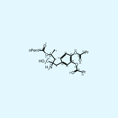 CCCCCC(=O)O[C@@H](C)CC(N)(Cc1ccc(OC(=O)C(C)C)c(OC(=O)C(C)C)c1)C(=O)O